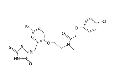 CN(CCOc1ccc(Br)cc1/C=C1\SC(=S)NC1=O)C(=O)COc1ccc(Cl)cc1